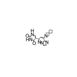 O=c1[nH]cc(-c2cc(N3CC4(CCC4)C3)c3nccn3n2)c(=O)[nH]1